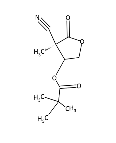 CC(C)(C)C(=O)OC1COC(=O)[C@]1(C)C#N